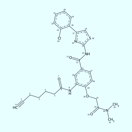 C#CCCCCC(=O)Nc1cc(C(=O)Nc2nc(-c3ccccc3Cl)cs2)ccc1OCC(=O)N(C)C